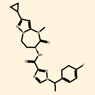 CC(C1=CC=C(F)CC1)n1cnc(C(=O)N[C@H]2CCn3nc(C4CC4)cc3N(C)C2=O)n1